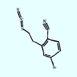 N#Cc1ccc(Br)cc1CCN=[N+]=[N-]